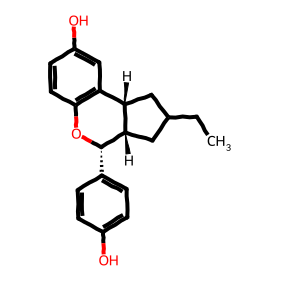 CCC1C[C@H]2[C@@H](C1)c1cc(O)ccc1O[C@H]2c1ccc(O)cc1